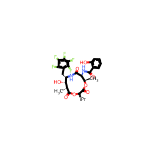 CC(C)C1OC(=O)[C@H](C)[C@H](O)[C@H](Cc2c(F)c(F)c(F)c(F)c2F)NC(=O)[C@@H](NC(=O)c2ccccc2O)[C@@H](C)OC1=O